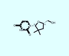 CC1(C)C[C@@H](CO)O[C@H]1n1ccc(=O)[nH]c1=O